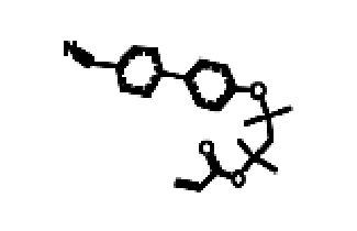 C=CC(=O)OC(C)(C)CC(C)(C)Oc1ccc(-c2ccc(C#N)cc2)cc1